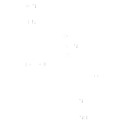 CC(=N)N1CCC(Oc2ccc(N(Cc3ccc4ccc(C(=N)N)cc4c3)S(=O)(=O)c3ccccc3)cc2)CC1.Cl.Cl